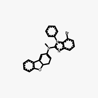 CN(C1=CCC2Oc3ccccc3C2=C1)c1nc2cccc(Br)c2n1-c1ccccc1